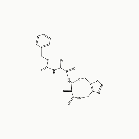 CC(C)C(NC(=O)OCc1ccccc1)C(=O)NC1CCc2snnc2CNC(=O)C1=O